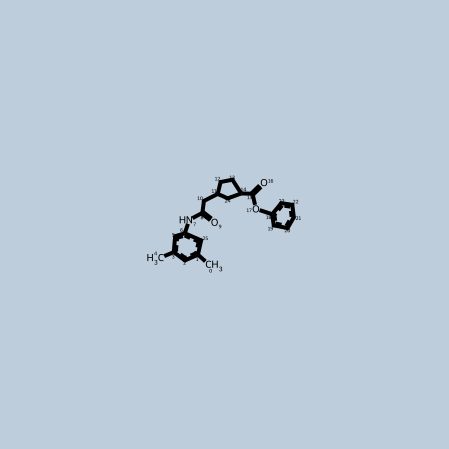 Cc1cc(C)cc(NC(=O)CC2CCC(C(=O)Oc3ccccc3)C2)c1